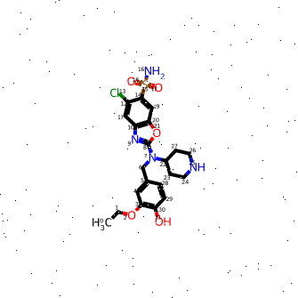 CCOc1cc(CN(c2nc3cc(Cl)c(S(N)(=O)=O)cc3o2)C2CCNCC2)ccc1O